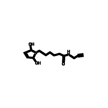 C#CCNC(=O)CCCCCN1C(O)C=CC1O